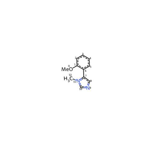 COc1ccccc1-c1cncn1C